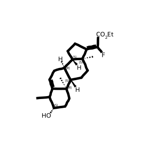 CCOC(=O)C(F)=C1CC[C@H]2[C@@H]3CC=C4C(C)[C@@H](O)CC[C@]4(C)[C@H]3CC[C@]12C